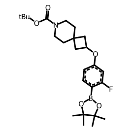 CC(C)(C)OC(=O)N1CCC2(CC1)CC(Oc1ccc(B3OC(C)(C)C(C)(C)O3)c(F)c1)C2